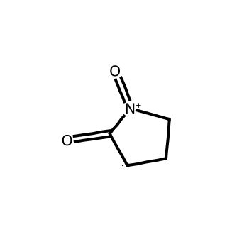 O=C1[CH]CC[N+]1=O